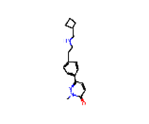 Cn1nc(-c2ccc(CCNCC3CCC3)cc2)ccc1=O